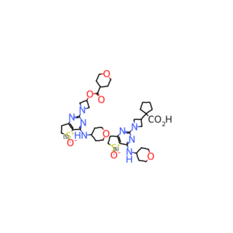 O=C(O)C1(C2CN(c3nc4c(c(NC5CCOCC5)n3)[S@+]([O-])CC4)C2)CCCC1.O=C(OC1CN(c2nc3c(c(NC4CCOCC4)n2)[S@+]([O-])CC3)C1)C1CCOCC1